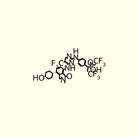 CN1Cc2c(c(Nc3nc(Nc4ccc(C(CC(F)(F)F)P(=O)(O)CC(F)(F)F)cc4)ncc3C(F)(F)F)ccc2[C@H]2CC[C@H](O)CC2)C1=O